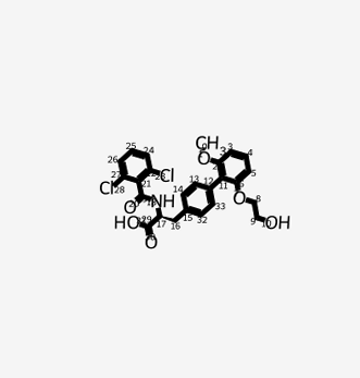 COc1cccc(OCCO)c1-c1ccc(C[C@H](NC(=O)c2c(Cl)cccc2Cl)C(=O)O)cc1